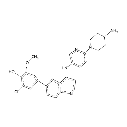 COc1cc(-c2ccc3nc[c]c(Nc4ccc(N5CCC(N)CC5)nc4)c3c2)cc(Cl)c1O